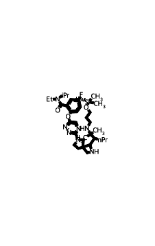 CCCC(C1NCC12CCN(c1ncc(Oc3ccc(F)cc3C(=O)N(CC)C(C)C)nn1)C2)C(C)(C)NCCCO[Si](C)(C)C(C)(C)C